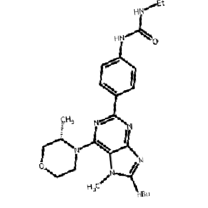 CCCCc1nc2nc(-c3ccc(NC(=O)NCC)cc3)nc(N3CCOC[C@@H]3C)c2n1C